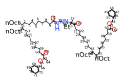 CCCCCCCCC(CCCCCCCCC(=O)NCCNC(C)(CC)C(=O)CCCCCCCCC(CCCCCCCC)C(CCCCCCCC)CCCCCCCCC(=O)OCc1ccccc1)C(CCCCCCCC)CCCCCCCCC(=O)C(C)OCc1ccccc1